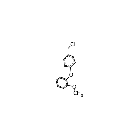 COc1ccccc1Oc1ccc(CCl)cc1